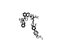 CC(=O)c1nc(N2CCc3cccc(C(=O)Nc4nc5ccccc5s4)c3C2)sc1CCCOc1ccc(N2CCN(C)CC2)cc1F